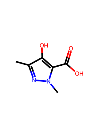 Cc1nn(C)c(C(=O)O)c1O